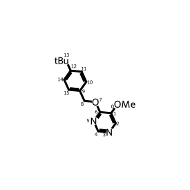 COc1cncnc1OCc1ccc(C(C)(C)C)cc1